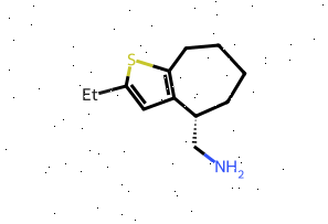 CCc1cc2c(s1)CCCC[C@@H]2CN